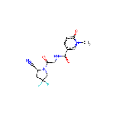 Cn1cc(C(=O)NCC(=O)N2CC(F)(F)C[C@H]2C#N)ccc1=O